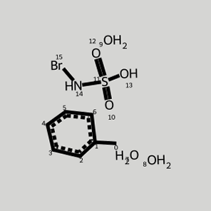 Cc1ccccc1.O.O.O.O=S(=O)(O)NBr